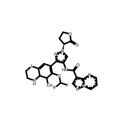 CC1C(OC(F)F)=C(c2nn([C@H]3CCOC3=O)cc2NC(=O)c2cnn3cccnc23)C=C2SCCNC21